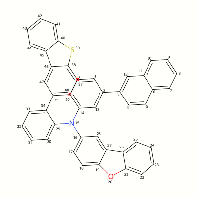 c1cc(-c2ccc3ccccc3c2)cc(N(c2ccc3oc4ccccc4c3c2)c2ccccc2-c2ccc3sc4ccccc4c3c2)c1